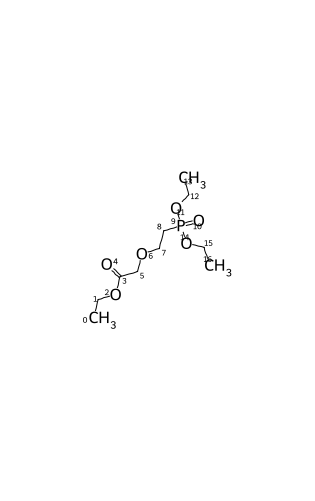 CCOC(=O)COCCP(=O)(OCC)OCC